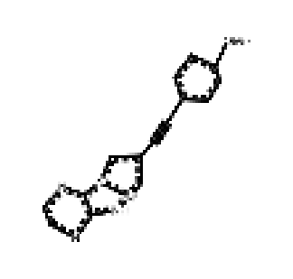 COc1ccc(C#Cc2cn3c4nccnc4[nH][n+]3c2)cc1